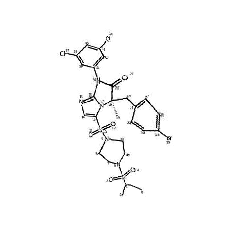 CC(C)S(=O)(=O)N1CCN(S(=O)(=O)c2cnc3n2[C@](C)(Cc2ccc(Br)cc2)C(=O)N3c2cc(Cl)cc(Cl)c2)CC1